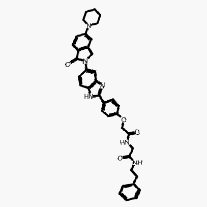 O=C(CNC(=O)COc1ccc(-c2nc3cc(N4Cc5cc(N6CCCCC6)ccc5C4=O)ccc3[nH]2)cc1)NCCc1ccccc1